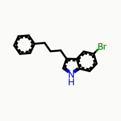 Brc1ccc2[nH]cc(CCCc3ccccc3)c2c1